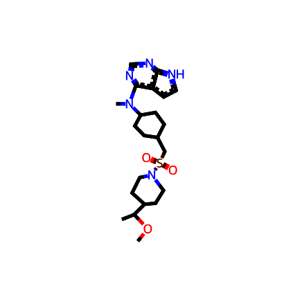 COC(C)C1CCN(S(=O)(=O)CC2CCC(N(C)c3ncnc4[nH]ccc34)CC2)CC1